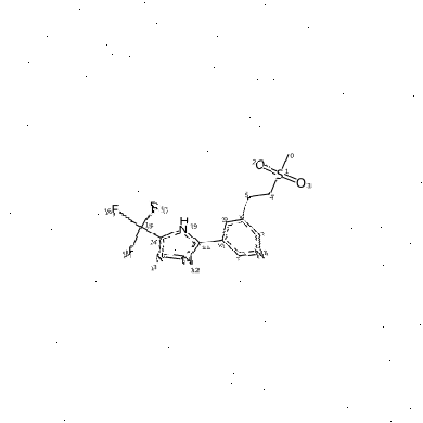 CS(=O)(=O)CCc1cncc(-c2nnc(C(F)(F)F)[nH]2)c1